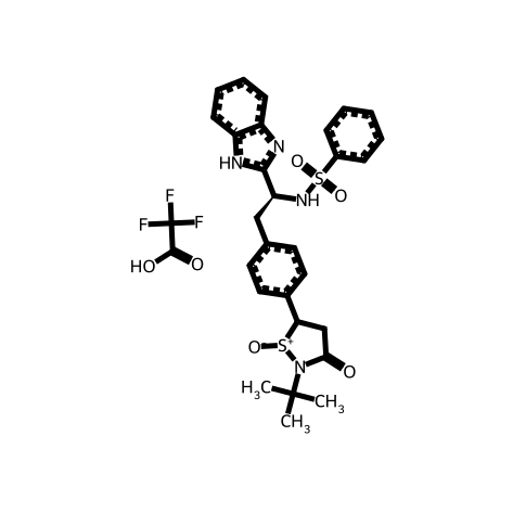 CC(C)(C)N1C(=O)CC(c2ccc(C[C@H](NS(=O)(=O)c3ccccc3)c3nc4ccccc4[nH]3)cc2)[S+]1[O-].O=C(O)C(F)(F)F